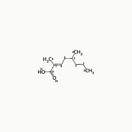 CCCC(C)C/C=C(\C)C(=O)O